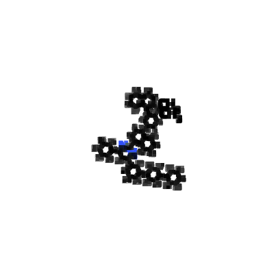 CC1(C)c2ccc(-c3ccc(-c4nc(-c5ccccc5)cc(-c5cccc(-c6ccc(-c7ccccc7)cc6)c5)n4)c4ccccc34)cc2-c2c1ccc1ccccc21